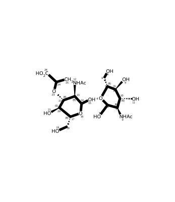 CC(=O)N[C@H]1C(O)O[C@H](CO)[C@@H](O)[C@@H]1O.CC(=O)N[C@H]1C(O)O[C@H](CO)[C@@H](O)[C@@H]1OC(C)C(=O)O